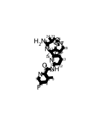 Cc1cc(F)cnc1C(=O)Nc1ccc(F)c([C@@]2(C)N=C(N)C(C)(C)[S@]3(=O)=NCC[C@@H]23)n1